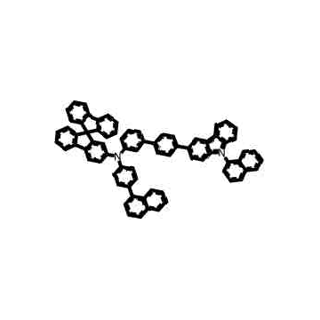 c1cc(-c2ccc(-c3ccc4c(c3)c3ccccc3n4-c3cccc4ccccc34)cc2)cc(N(c2ccc(-c3cccc4ccccc34)cc2)c2ccc3c(c2)C2(c4ccccc4-c4ccccc42)c2ccccc2-3)c1